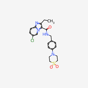 CCc1nc2ccc(Cl)cn2c1C(=O)NCc1ccc(N2CCS(=O)(=O)CC2)cc1